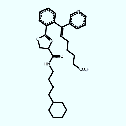 O=C(O)CCCC/C=C(\c1cccnc1)c1ccccc1C1=NC(C(=O)NCCCCC2CCCCC2)CO1